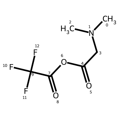 CN(C)CC(=O)OC(=O)C(F)(F)F